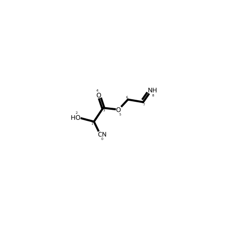 N#CC(O)C(=O)OCC=N